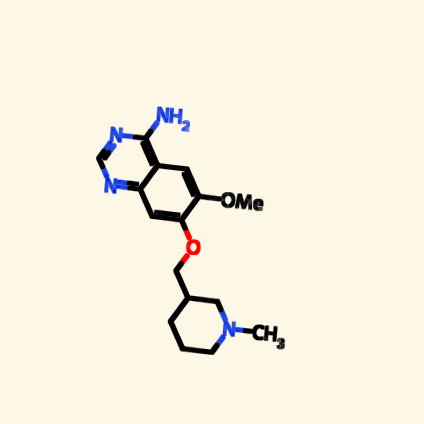 COc1cc2c(N)ncnc2cc1OCC1CCCN(C)C1